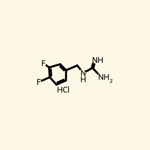 Cl.N=C(N)NCc1ccc(F)c(F)c1